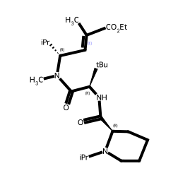 CCOC(=O)/C(C)=C/[C@@H](C(C)C)N(C)C(=O)[C@H](NC(=O)[C@H]1CCCCN1C(C)C)C(C)(C)C